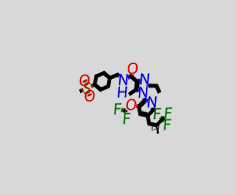 CCc1nc(C(=O)NCC2CCC(S(C)(=O)=O)CC2)c(C)n1-c1ncc(C[C@H](C)C(F)(F)F)cc1OC(F)F